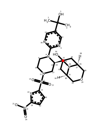 CC(C)(O)c1cnc(N2CCN(S(=O)(=O)c3ccc([N+](=O)[O-])s3)C[C@@H]2CN2[C@@H]3COC[C@H]2CC(O)C3)nc1